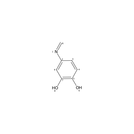 C=Nc1ccc(O)c(O)c1